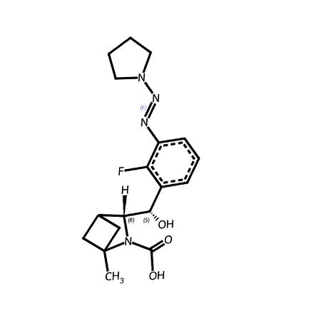 CC12CC(C1)[C@H]([C@@H](O)c1cccc(/N=N/N3CCCC3)c1F)N2C(=O)O